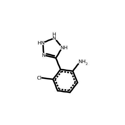 Nc1cccc(Cl)c1C1=NNNN1